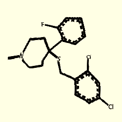 CN1CCC(SCc2ccc(Cl)cc2Cl)(c2ccccc2F)CC1